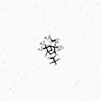 C[C@@H]1[C@@H](OC(=O)C(F)(F)F)C[C@H]2C[C@@]1(C(N)=O)C2(C)C